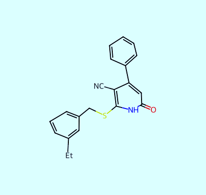 CCc1cccc(CSc2[nH]c(=O)cc(-c3ccccc3)c2C#N)c1